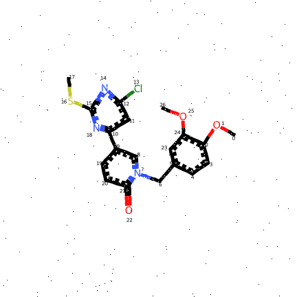 COc1ccc(Cn2cc(-c3cc(Cl)nc(SC)n3)ccc2=O)cc1OC